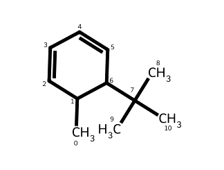 CC1C=CC=CC1C(C)(C)C